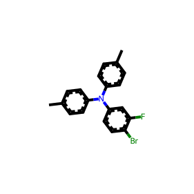 Cc1ccc(N(c2ccc(C)cc2)c2ccc(Br)c(F)c2)cc1